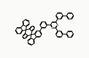 c1ccc(-c2cccc(-c3cc(-c4cccc(-c5ccc6c(c5)C5(c7ccccc7-6)c6ccccc6C6(c7ccccc7-c7ccccc76)c6ccccc65)c4)nc(-c4cccc(-c5ccccc5)c4)n3)c2)cc1